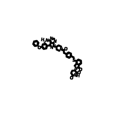 Nc1ncnc2c1c(-c1ccc(Oc3ccccc3)cc1)nn2C1CCN(C(=O)Cc2ccc(CSc3cccc4c3CN(C3CCC(=O)NC3=O)C4=O)cc2)CC1